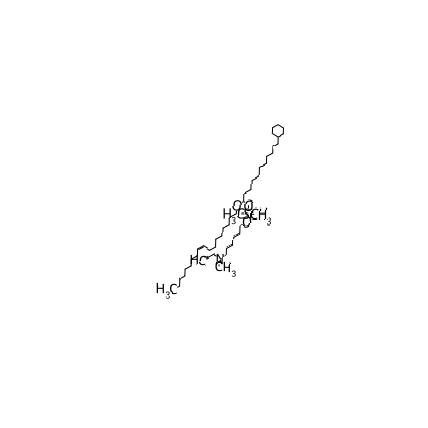 C#CCN(C)CCCCCCO[Si](C)(C)OC(CCCCCCCCCCC1CCCCC1)OCCCCCCCC/C=C\CCCCCCCC